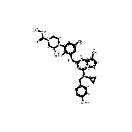 COc1ccc(CN(c2nc(Nc3cc(C#N)cc(N4CCN(C(=O)OC(C)(C)C)C[C@@H]4C)c3OC)nc3c(C#N)cnn23)C2CC2)cc1